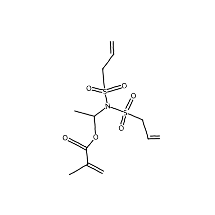 C=CCS(=O)(=O)N(C(C)OC(=O)C(=C)C)S(=O)(=O)CC=C